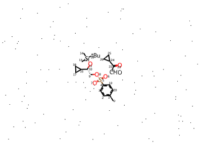 Cc1ccc(S(=O)(=O)OC[C@@H](O[Si](C)(C)C(C)(C)C)C2CC2)cc1.O=CC(=O)C1CC1